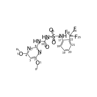 COc1cc(OC)nc(NC(=O)NS(=O)(=O)Nc2ccccc2C(F)(F)F)n1